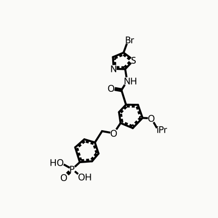 CC(C)Oc1cc(OCc2ccc(P(=O)(O)O)cc2)cc(C(=O)Nc2ncc(Br)s2)c1